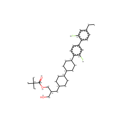 CCc1ccc(-c2ccc(C3CCC(C4CCC(CC(CO)COC(=O)C(C)(C)C)CC4)CC3)c(F)c2)c(F)c1